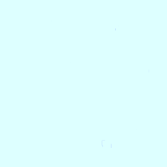 O=Cc1ccccc1[O-].O=Cc1ccccc1[O-].O=Cc1ccccc1[O-].[Eu+3]